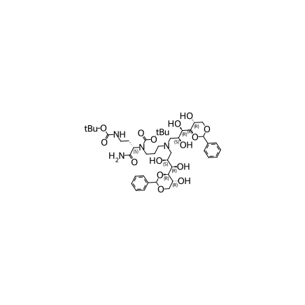 CC(C)(C)OC(=O)NCC[C@@H](C(N)=O)N(CCCN(C[C@H](O)[C@@H](O)[C@@H]1OC(c2ccccc2)OC[C@H]1O)C[C@H](O)[C@@H](O)[C@@H]1OC(c2ccccc2)OC[C@H]1O)C(=O)OC(C)(C)C